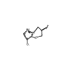 CCc1cnn2c1OCC(F)C2